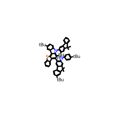 CC(C)(C)c1ccc(Nc2cc3c(cc2-c2c4c5c(c6cc(C(C)(C)C)ccc6n5-c5cc6c(cc5B4)C(C)(C)c4ccccc4-6)c4sc5ccccc5c24)-c2ccc(C(C)(C)C)cc2C3(C)C)cc1